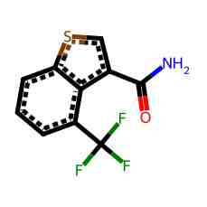 NC(=O)c1csc2cccc(C(F)(F)F)c12